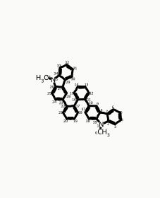 Cn1c2ccccc2c2cc(-c3ccccc3-c3ccccc3-c3ccc4c(c3)c3ccccc3n4C)ccc21